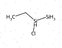 CC[SiH]([SiH3])Cl